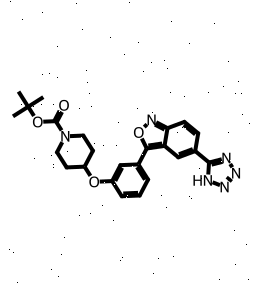 CC(C)(C)OC(=O)N1CCC(Oc2cccc(-c3onc4ccc(-c5nnn[nH]5)cc34)c2)CC1